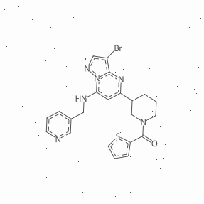 O=C(c1cccs1)N1CCCC(c2cc(NCc3cccnc3)n3ncc(Br)c3n2)C1